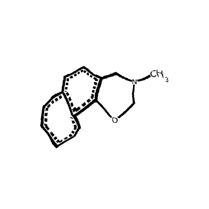 CN1COc2c(ccc3ccccc23)C1